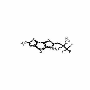 Cc1cc2sc3nc(CC(C)(C)C(F)(F)F)sc3c2s1